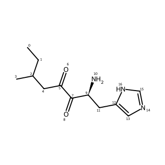 CCC(C)CC(=O)C(=O)[C@@H](N)Cc1cnc[nH]1